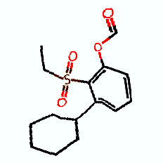 CCS(=O)(=O)c1c(OC=O)cccc1C1CCCCC1